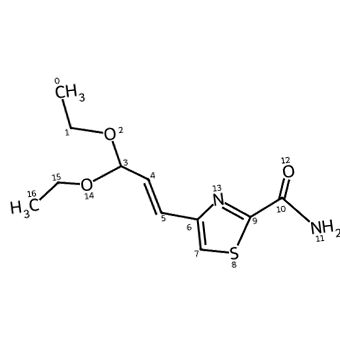 CCOC(/C=C/c1csc(C(N)=O)n1)OCC